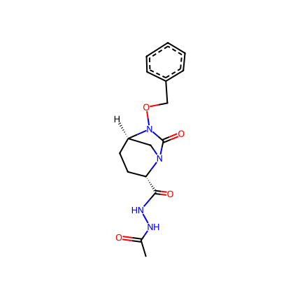 CC(=O)NNC(=O)[C@@H]1CC[C@@H]2CN1C(=O)N2OCc1ccccc1